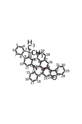 CC1(C)c2ccccc2-c2ccc(N(c3ccccc3-c3ccc4c(c3)oc3ccccc34)c3cccc4ccccc34)cc21